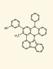 Cc1c(-c2cccc(C#N)c2)cc2c3c1-c1cccc4c5ccccc5n(c14)B3c1ccccc1N2c1ccccc1